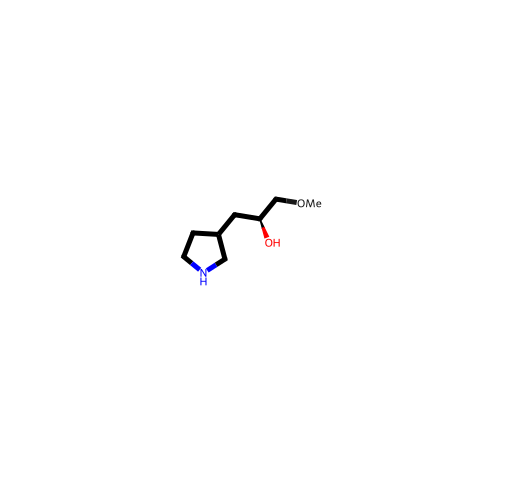 COC[C@@H](O)CC1CCNC1